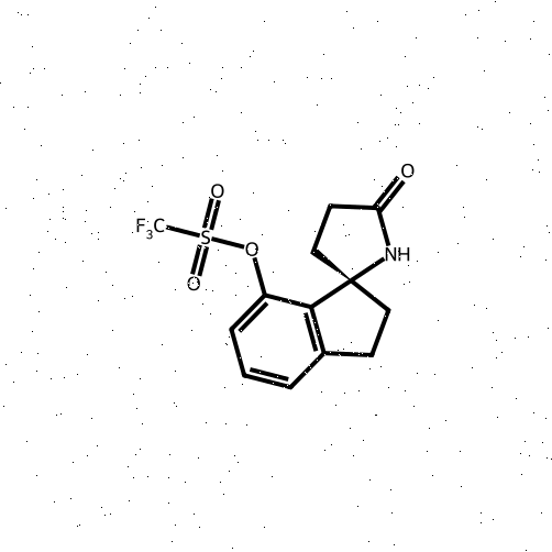 O=C1CC[C@]2(CCc3cccc(OS(=O)(=O)C(F)(F)F)c32)N1